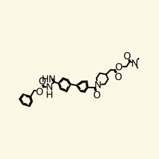 CN(C)C(=O)COC(=O)CC1CCN(C(=O)c2ccc(-c3ccc(C(=N)NC(=O)OCc4ccccc4)cc3)cc2)CC1